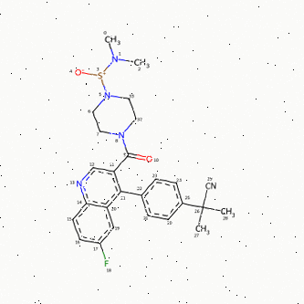 CN(C)[S+]([O-])N1CCN(C(=O)c2cnc3ccc(F)cc3c2-c2ccc(C(C)(C)C#N)cc2)CC1